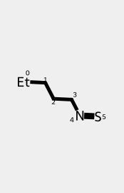 CCCCCN=S